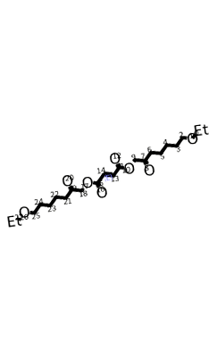 CCOCCCCCC(=O)COC(=O)/C=C/C(=O)OCC(=O)CCCCCOCC